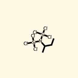 CCC(C)N([Si](Cl)(Cl)Cl)[Si](Cl)(Cl)Cl